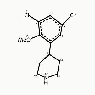 COc1c(Cl)cc(Cl)cc1C1CCNCC1